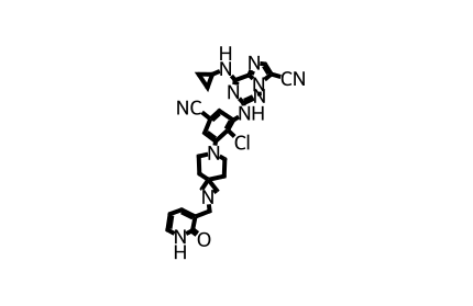 N#Cc1cc(Nc2nc(NC3CC3)c3ncc(C#N)n3n2)c(Cl)c(N2CCC3(CC2)CN(Cc2ccc[nH]c2=O)C3)c1